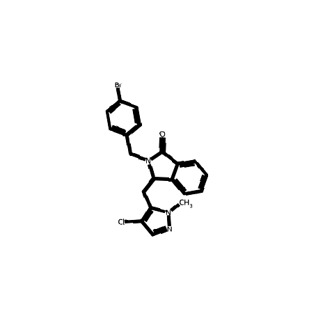 Cn1ncc(Cl)c1CC1c2ccccc2C(=O)N1Cc1ccc(Br)cc1